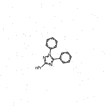 CCCc1nc(-c2ccccc2)n(-c2ccccc2)n1